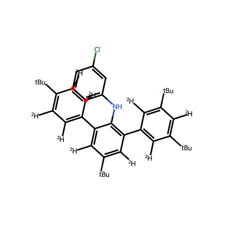 [2H]c1c([2H])c(C(C)(C)C)c([2H])c([2H])c1-c1c([2H])c(C(C)(C)C)c([2H])c(-c2c([2H])c(C(C)(C)C)c([2H])c(C(C)(C)C)c2[2H])c1Nc1cccc(Cl)c1